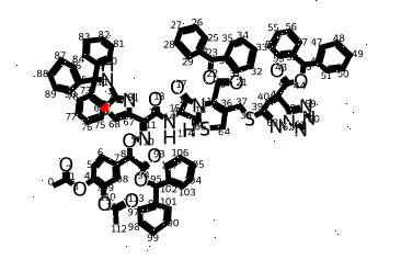 CC(=O)Oc1ccc(C(ON=C(C(=O)N[C@@H]2C(=O)N3C(C(=O)OC(c4ccccc4)c4ccccc4)=C(CSc4cc(C(=O)OC(c5ccccc5)c5ccccc5)c5nnnn5n4)CS[C@H]23)c2csc(NC(c3ccccc3)(c3ccccc3)c3ccccc3)n2)C(=O)OC(c2ccccc2)c2ccccc2)cc1OC(C)=O